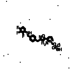 Nc1c(-c2cc(Cc3ccc(CNc4ccc(F)c(F)c4F)cc3)no2)ccc[n+]1COP(=O)([O-])O